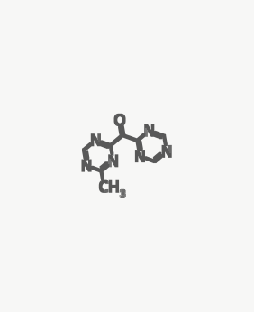 Cc1ncnc(C(=O)c2ncncn2)n1